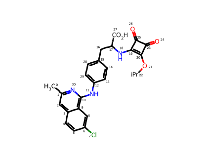 Cc1cc2ccc(Cl)cc2c(Nc2ccc(CC(Nc3c(OC(C)C)c(=O)c3=O)C(=O)O)cc2)n1